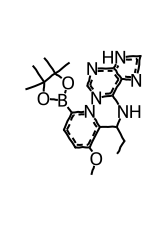 CCC(Nc1ncnc2[nH]cnc12)c1nc(B2OC(C)(C)C(C)(C)O2)ccc1OC